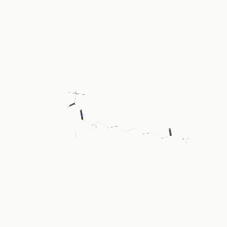 CCCCC(F)(F)C(=O)/C=C/[C@H](C)CCCCCCCCC(=O)OC